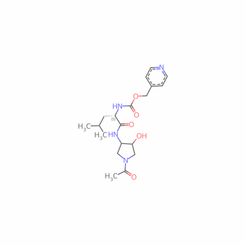 CC(=O)N1CC(O)C(NC(=O)[C@H](CC(C)C)NC(=O)OCc2ccncc2)C1